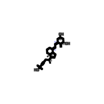 C=C1/C(=C\C=C2/CCC[C@]3(C)C([C@@H](C)CC#CC(C)(C)O)=CCC23)C[C@@H](O)C[C@@H]1O